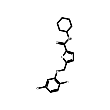 O=C(NC1CCCCC1)c1ccc(COc2cc(Cl)ccc2Cl)o1